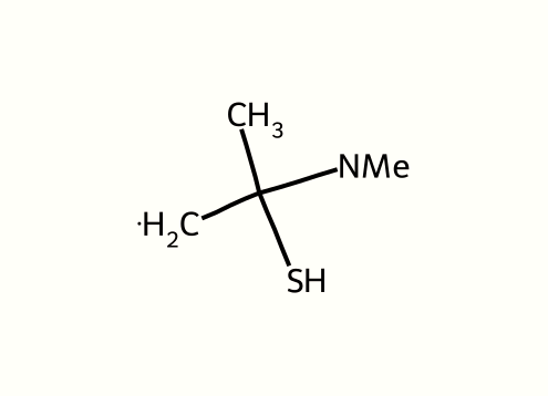 [CH2]C(C)(S)NC